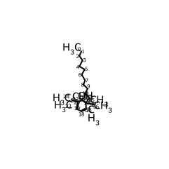 CCCCCCCCCCCCC1(C(C)(C)C)C=CC=C(C(C)(C)C)C1O